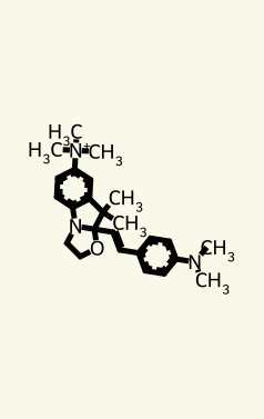 CN(C)c1ccc(C=CC23OCCN2c2ccc([N+](C)(C)C)cc2C3(C)C)cc1